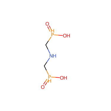 O=[PH](O)CNC[PH](=O)O